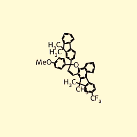 COc1ccc(C2(c3ccc4c(c3)C(C)(C)c3ccccc3-4)C=Cc3c4c(c5ccccc5c3O2)-c2ccc(C(F)(F)F)cc2C4(C)C)cc1